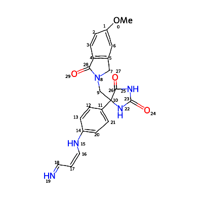 COc1ccc2c(c1)CN(CC1(c3ccc(N/C=C\C=N)cc3)NC(=O)NC1=O)C2=O